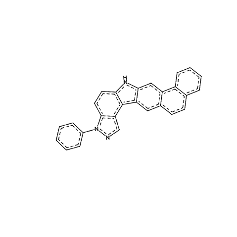 c1ccc(-n2ncc3c4c(ccc32)[nH]c2cc3c(ccc5ccccc53)cc24)cc1